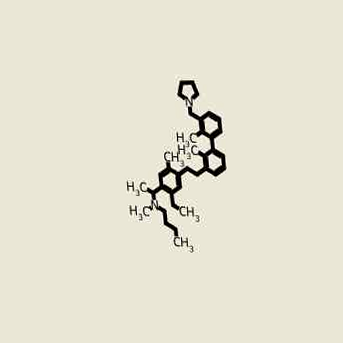 CCCCN(C)C(C)c1cc(C)c(CCc2cccc(-c3cccc(CN4CCCC4)c3C)c2C)cc1CC